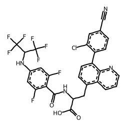 N#Cc1ccc(-c2ccc(CC(NC(=O)c3c(F)cc(NC(C(F)(F)F)C(F)(F)F)cc3F)C(=O)O)c3cccnc23)c(Cl)c1